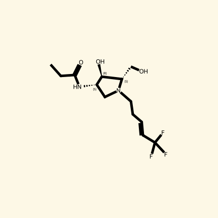 CCC(=O)N[C@H]1CN(CCC=CC(F)(F)F)[C@@H](CO)[C@@H]1O